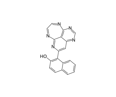 Oc1ccc2ccccc2c1-c1cc2ncnc3c2c(n1)N=CC=N3